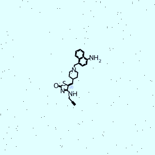 C#CCNC1=NC(=O)S/C1=C\C1CCN(Cc2ccc(N)c3ccccc23)CC1